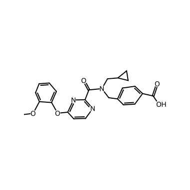 COc1ccccc1Oc1ccnc(C(=O)N(Cc2ccc(C(=O)O)cc2)CC2CC2)n1